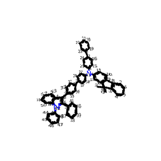 CC1(C)c2ccccc2-c2ccc(N(c3ccc(-c4ccccc4)cc3)c3ccc(-c4ccc(-c5c(-c6ccccc6)n(-c6ccccc6)c6ccccc56)cc4)cc3)cc21